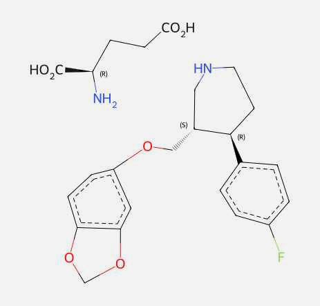 Fc1ccc([C@@H]2CCNC[C@H]2COc2ccc3c(c2)OCO3)cc1.N[C@H](CCC(=O)O)C(=O)O